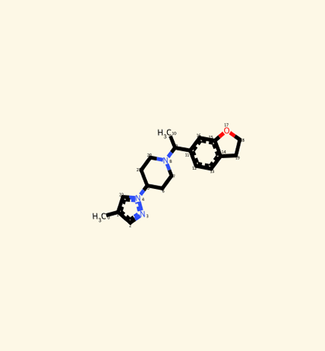 Cc1cnn(C2CCN(C(C)c3ccc4c(c3)OCC4)CC2)c1